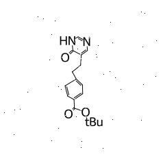 CC(C)(C)OC(=O)c1ccc(CCc2cnc[nH]c2=O)cc1